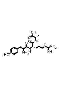 C[C@H](NC(=O)[C@H](CCCNC(=N)N)NC(=O)[C@@H](N)Cc1ccc(O)cc1)C(=O)O